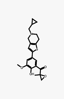 COc1cc(-c2cc3c(s2)CCN(CC2CC2)C3)cc(C(=O)C2(C)CO2)c1O